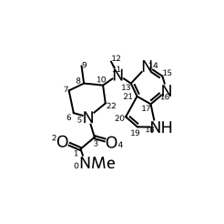 CNC(=O)C(=O)N1CCC(C)C(N(C)c2ncnc3[nH]ccc23)C1